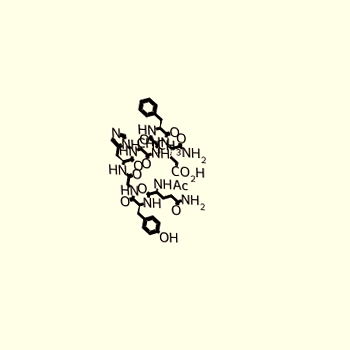 CC(=O)N[C@@H](CCC(N)=O)C(=O)N[C@@H](Cc1ccc(O)cc1)C(=O)NCC(=O)N[C@@H](Cc1cnc[nH]1)C(=O)N[C@@H](C)C(=O)N[C@@H](C)C(=O)N[C@@H](Cc1ccccc1)C(=O)N[C@@H](CCC(=O)O)C(N)=O